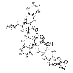 NCC(=O)N[C@@H](Cc1ccccc1)C(=O)N[C@@H](Cc1ccccc1)C(=O)N[C@@H](Cc1ccc(OP(=O)(O)O)cc1)C(=O)O